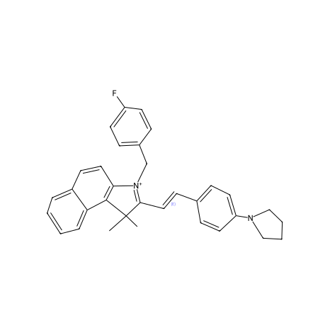 CC1(C)C(/C=C/c2ccc(N3CCCC3)cc2)=[N+](Cc2ccc(F)cc2)c2ccc3ccccc3c21